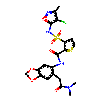 Cc1noc(NS(=O)(=O)c2ccsc2C(=O)Nc2cc3c(cc2CC(=O)N(C)C)OCO3)c1Cl